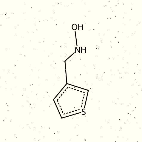 ONCc1ccsc1